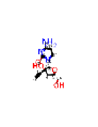 C#C[C@@]1(O)C[C@@H](CO)O[C@H]1n1ccc(N)nc1=O